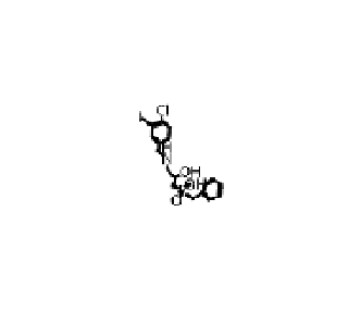 O=P(O)(Cc1ccccc1)CC(O)CNCc1ccc(Cl)c(I)c1